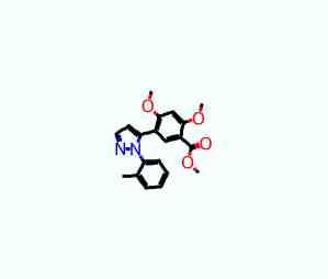 COC(=O)c1cc(-c2ccnn2-c2ccccc2C)c(OC)cc1OC